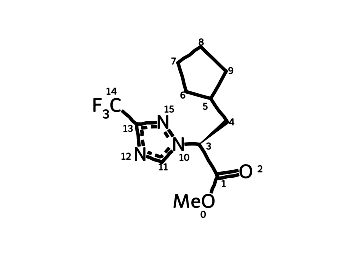 COC(=O)[C@H](CC1CCCC1)n1cnc(C(F)(F)F)n1